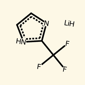 FC(F)(F)c1ncc[nH]1.[LiH]